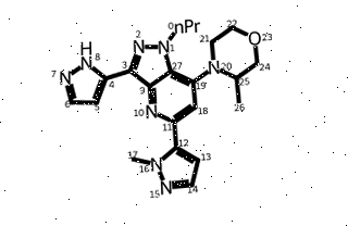 CCCn1nc(-c2ccn[nH]2)c2nc(-c3ccnn3C)cc(N3CCOCC3C)c21